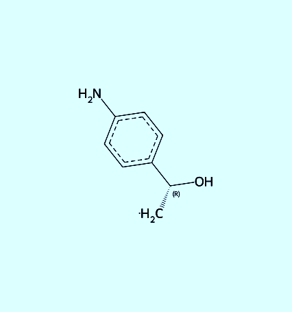 [CH2][C@@H](O)c1ccc(N)cc1